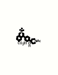 CCOC(=O)c1ccc2c(c1)C(c1ccc(C3(O)CCN(C(C)=O)CC3)cc1)=CN([Si](C)(C)C)C2